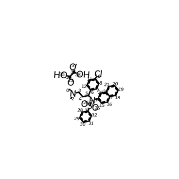 CN(C)CCC(c1ccc(Cl)cc1)N(c1ccc2ccccc2c1)S(=O)(=O)c1ccccc1.O=C(O)C(=O)O